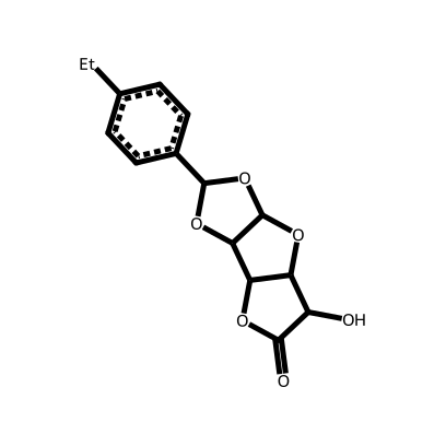 CCc1ccc(C2OC3OC4C(O)C(=O)OC4C3O2)cc1